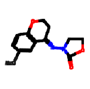 COc1ccc2c(c1)C(=NN1CCOC1=O)CCO2